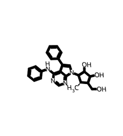 C[C@H]1C(CO)C(O)C(O)C1n1cc(-c2ccccc2)c2c(Nc3ccccc3)ncnc21